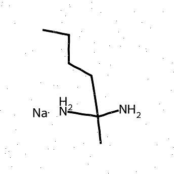 CCCCC(C)(N)N.[Na]